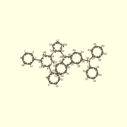 c1ccc(-c2nc(-c3ccccc3)nc(-n3ccnc3-n3c4ccccc4c4cc(N(c5ccccc5)c5ccccc5)ccc43)n2)cc1